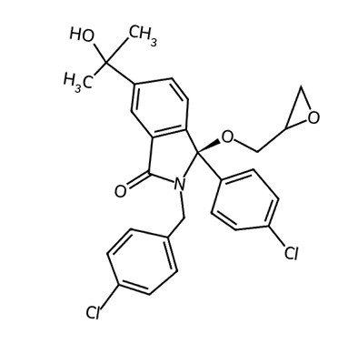 CC(C)(O)c1ccc2c(c1)C(=O)N(Cc1ccc(Cl)cc1)[C@@]2(OCC1CO1)c1ccc(Cl)cc1